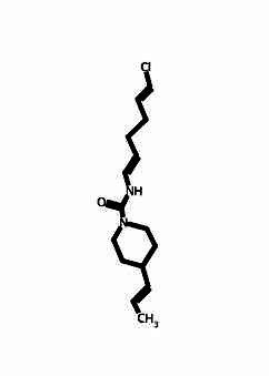 C/C=C/C1CCN(C(=O)N/C=C/CC/C=C/Cl)CC1